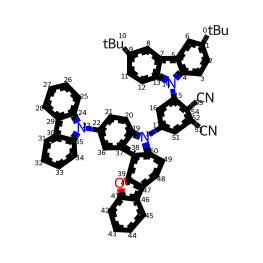 CC(C)(C)c1ccc2c(c1)c1cc(C(C)(C)C)ccc1n2-c1cc(-n2c3ccc(-n4c5ccccc5c5ccccc54)cc3c3c4oc5ccccc5c4ccc32)cc(C#N)c1C#N